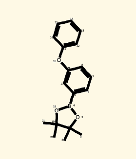 CC1(C)OB(c2cccc(Oc3ccccc3)c2)OC1(C)C